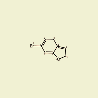 BrC1=CCC2=CCOC2=C1